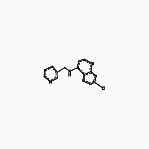 Clc1ccc2c(NCc3cccnc3)ccnc2c1